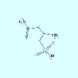 CC(CC(N)=O)CS(=O)(=O)O